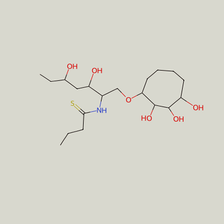 CCCC(=S)NC(COC1CCCCC(O)C(O)C1O)C(O)CC(O)CC